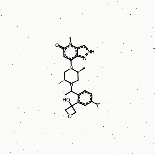 CC(c1ccc(F)cc1C1(O)COC1)N1C[C@H](C)N(c2cc(=O)n(C)c3c[nH]nc23)C[C@H]1C